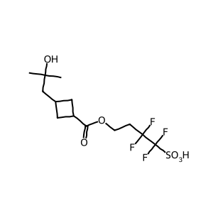 CC(C)(O)CC1CC(C(=O)OCCC(F)(F)C(F)(F)S(=O)(=O)O)C1